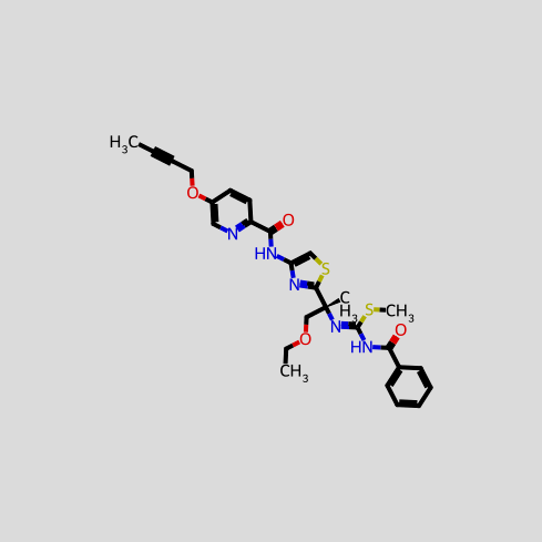 CC#CCOc1ccc(C(=O)Nc2csc([C@@](C)(COCC)/N=C(/NC(=O)c3ccccc3)SC)n2)nc1